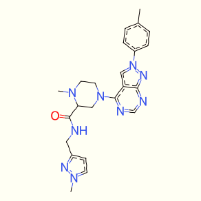 Cc1ccc(-n2cc3c(N4CCN(C)C(C(=O)NCc5ccn(C)n5)C4)ncnc3n2)cc1